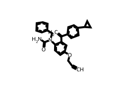 C#CCOc1ccc(N(Cc2ccccc2)C(N)=O)c(C(=C)c2ccc(C3CC3)cc2)c1